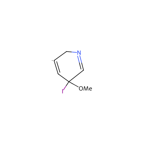 COC1(I)C=[C]CN=C1